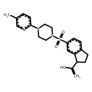 C=C(O)C1CCc2ccc(S(=O)(=O)N3CCN(c4ccc(C)cn4)CC3)cc21